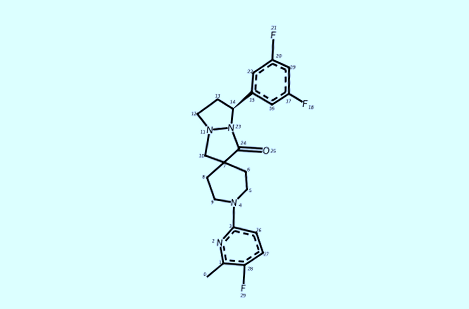 Cc1nc(N2CCC3(CC2)CN2CC[C@@H](c4cc(F)cc(F)c4)N2C3=O)ccc1F